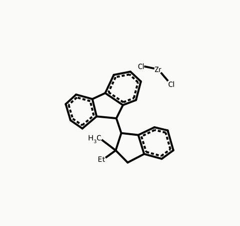 CCC1(C)Cc2ccccc2C1C1c2ccccc2-c2ccccc21.[Cl][Zr][Cl]